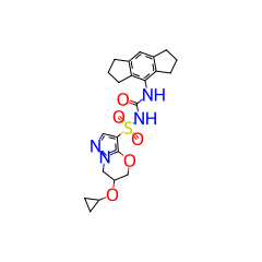 O=C(Nc1c2c(cc3c1CCC3)CCC2)NS(=O)(=O)c1cnn2c1OCC(OC1CC1)C2